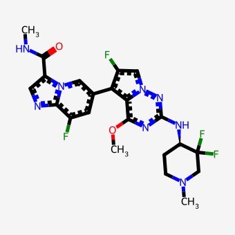 CNC(=O)c1cnc2c(F)cc(-c3c(F)cn4nc(N[C@@H]5CCN(C)CC5(F)F)nc(OC)c34)cn12